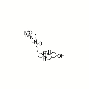 Cc1nnc(N2CCN(C(=O)CCC(C)[C@H]3CC[C@H]4[C@@H]5CC=C6C[C@@H](O)CC[C@]6(C)[C@H]5CC[C@]34C)C[C@@H]2C)o1